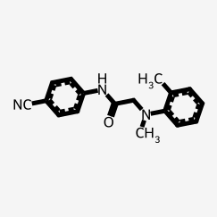 Cc1ccccc1N(C)CC(=O)Nc1ccc(C#N)cc1